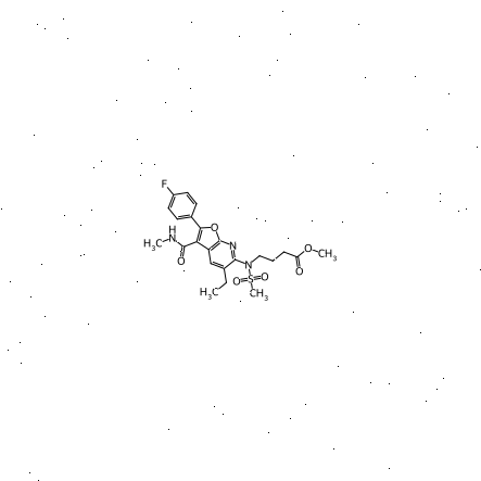 CCc1cc2c(C(=O)NC)c(-c3ccc(F)cc3)oc2nc1N(CCCC(=O)OC)S(C)(=O)=O